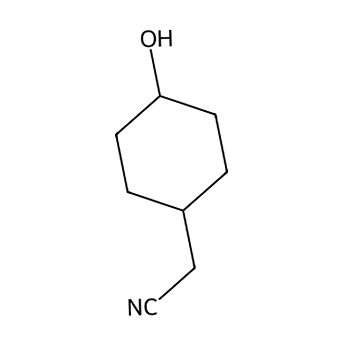 N#CCC1CCC(O)CC1